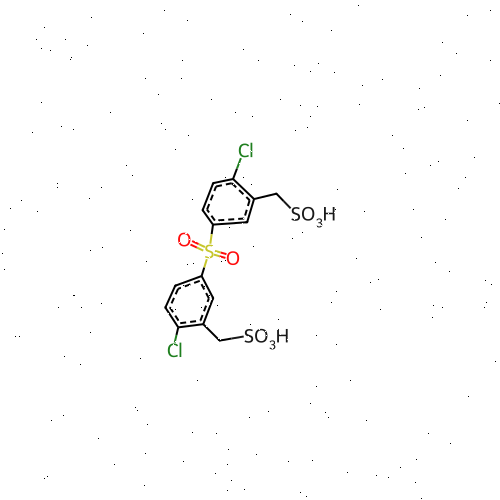 O=S(=O)(O)Cc1cc(S(=O)(=O)c2ccc(Cl)c(CS(=O)(=O)O)c2)ccc1Cl